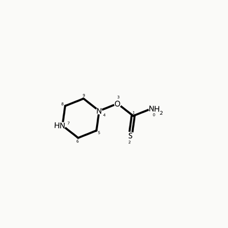 NC(=S)ON1CCNCC1